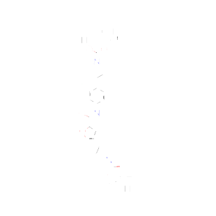 CC(C)(C)OC(=O)N1CC=C(c2coc(C(=O)Nc3ccc(C4=CCN(C(=O)OC(C)(C)C)CC4)c(F)c3)c2)CC1